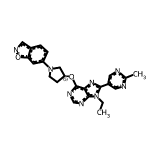 CCn1c(-c2cnc(C)nc2)nc2c(O[C@H]3CCN(c4ccc5cnoc5c4)C3)ncnc21